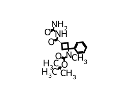 CN(C(=O)OC(C)(C)C)[C@]1(c2ccccc2)C[C@@H](C(=O)NC(N)=O)C1